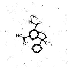 CNC(=O)c1cc(C(=O)O)cc2c1OCC2(C)c1ccccc1